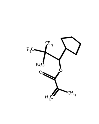 C=C(C)C(=O)OC(C1CCCC1)C(OC(C)=O)(C(F)(F)F)C(F)(F)F